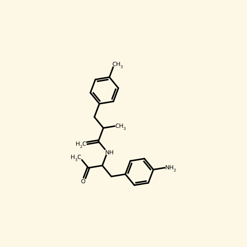 C=C(NC(Cc1ccc(N)cc1)C(C)=O)C(C)Cc1ccc(C)cc1